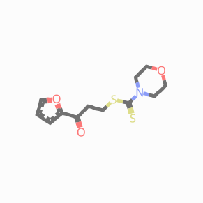 O=C(CCSC(=S)N1CCOCC1)c1ccco1